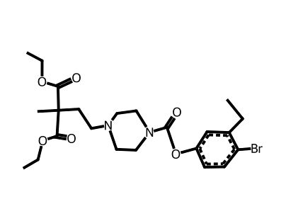 CCOC(=O)C(C)(CCN1CCN(C(=O)Oc2ccc(Br)c(CC)c2)CC1)C(=O)OCC